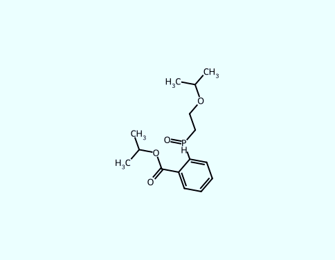 CC(C)OCC[PH](=O)c1ccccc1C(=O)OC(C)C